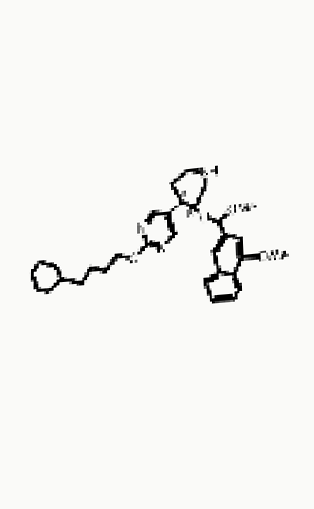 COc1cc(C(OC)O[C@H]2CNCC[C@@H]2c2cnc(OCCCCC3CCCCC3)nc2)cc2ccccc12